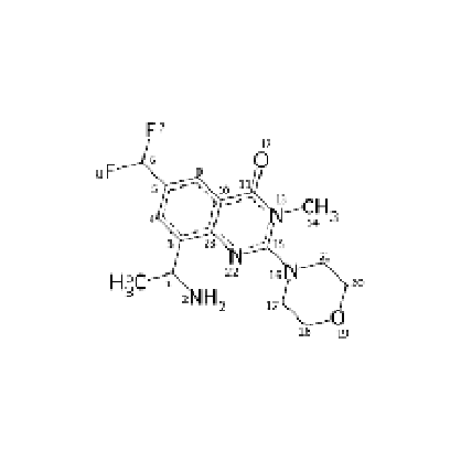 CC(N)c1cc(C(F)F)cc2c(=O)n(C)c(N3CCOCC3)nc12